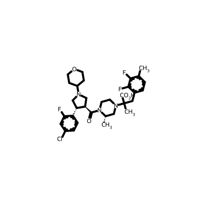 Cc1ccc(CC(C)(C(=O)O)N2CCN(C(=O)[C@@H]3CN(C4CCOCC4)C[C@H]3c3ccc(Cl)cc3F)[C@@H](C)C2)c(F)c1F